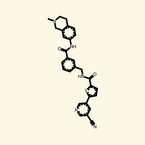 CN1CCc2ccc(NC(=O)c3cccc(CNC(=O)c4ccc(-c5cncc(C#N)c5)s4)c3)cc2C1